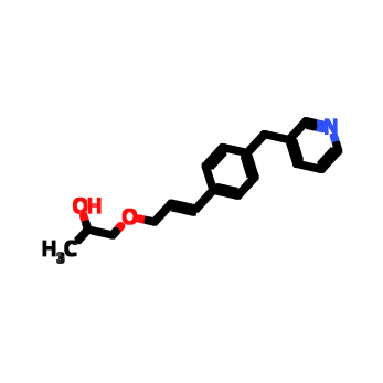 CC(O)COCC=Cc1ccc(Cc2cccnc2)cc1